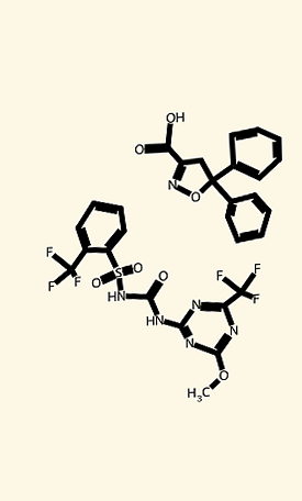 COc1nc(NC(=O)NS(=O)(=O)c2ccccc2C(F)(F)F)nc(C(F)(F)F)n1.O=C(O)C1=NOC(c2ccccc2)(c2ccccc2)C1